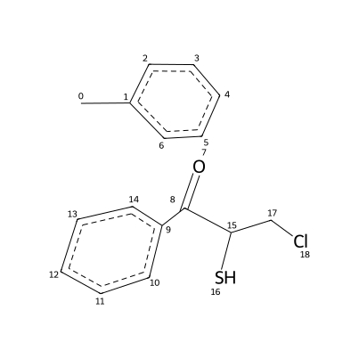 Cc1ccccc1.O=C(c1ccccc1)C(S)CCl